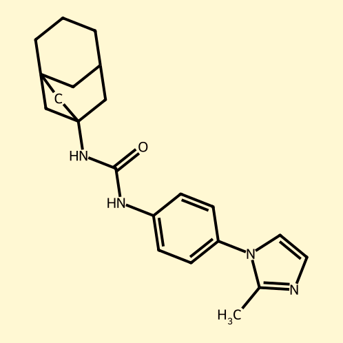 Cc1nccn1-c1ccc(NC(=O)NC23CC4CCCC(C4)(C2)C3)cc1